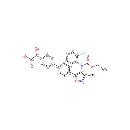 CCOC(=O)N(c1ccccc1F)c1c(C)noc1-c1ccc(-c2ccc(C(O)C(=O)O)cc2)cc1